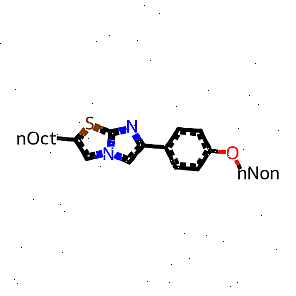 CCCCCCCCCOc1ccc(-c2cn3cc(CCCCCCCC)sc3n2)cc1